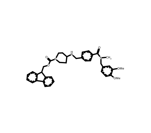 COc1ccc(CN(C)C(=O)c2ccc(CNC3CCN(C(=O)OCC4c5ccccc5-c5ccccc54)CC3)cc2)cc1OC